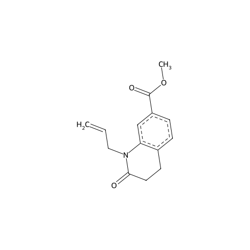 C=CCN1C(=O)CCc2ccc(C(=O)OC)cc21